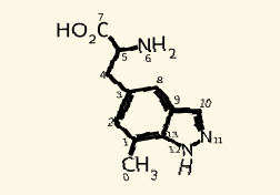 Cc1cc(CC(N)C(=O)O)cc2cn[nH]c12